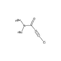 CCCCN(CCCC)C(=O)C#CCl